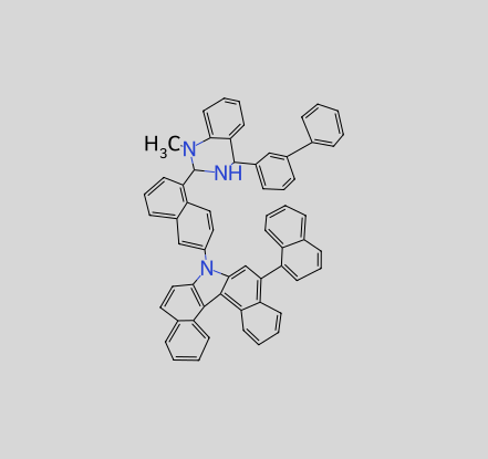 CN1c2ccccc2C(c2cccc(-c3ccccc3)c2)NC1c1cccc2cc(-n3c4ccc5ccccc5c4c4c5ccccc5c(-c5cccc6ccccc56)cc43)ccc12